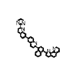 c1cnc(-c2ccc3ccc(-c4ccc5nc(-c6ccc(-c7ccc8ccc9cccnc9c8n7)c7ccccc67)ccc5c4)cc3n2)nc1